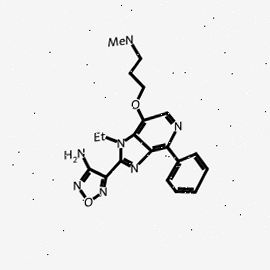 CCn1c(-c2nonc2N)nc2c(-c3ccccc3)ncc(OCCCNC)c21